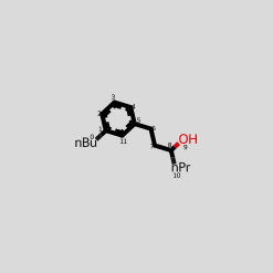 CCCCc1cccc(CCC(O)CCC)c1